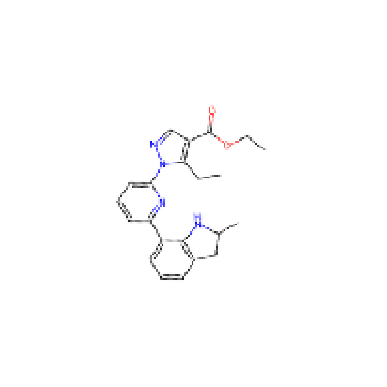 CCOC(=O)c1cnn(-c2cccc(-c3cccc4c3NC(C)C4)n2)c1CC